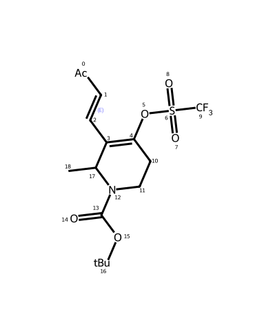 CC(=O)/C=C/C1=C(OS(=O)(=O)C(F)(F)F)CCN(C(=O)OC(C)(C)C)C1C